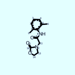 Cc1cccc(C)c1NC(=O)CN1CCOC1=O